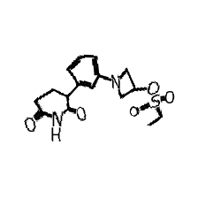 CCS(=O)(=O)OC1CN(c2cccc(C3CCC(=O)NC3=O)c2)C1